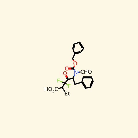 CCC(C(=O)O)C(F)(F)C(=O)C(Cc1ccccc1)N(C=O)C(=O)OCc1ccccc1